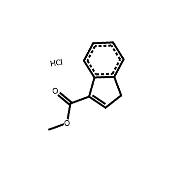 COC(=O)C1=CCc2ccccc21.Cl